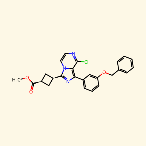 COC(=O)[C@H]1C[C@@H](c2nc(-c3cccc(OCc4ccccc4)c3)c3c(Cl)nccn32)C1